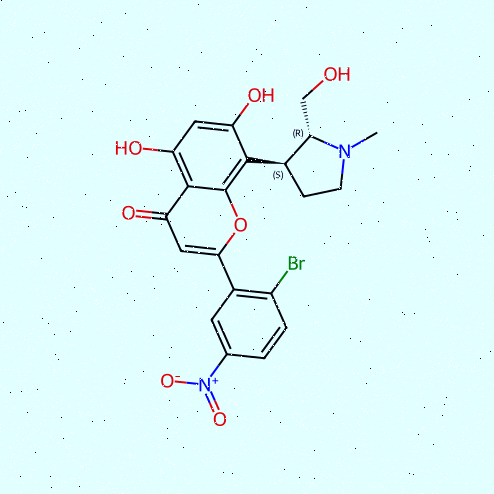 CN1CC[C@@H](c2c(O)cc(O)c3c(=O)cc(-c4cc([N+](=O)[O-])ccc4Br)oc23)[C@@H]1CO